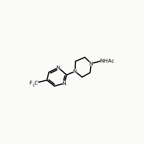 CC(=O)NN1CCN(c2ncc(C(F)(F)F)cn2)CC1